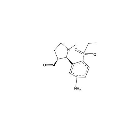 CCS(=O)(=O)c1ccc(N)cc1[C@H]1[C@@H](C=O)CCN1C